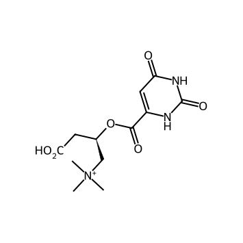 C[N+](C)(C)C[C@@H](CC(=O)O)OC(=O)c1cc(=O)[nH]c(=O)[nH]1